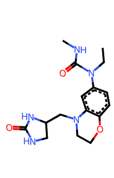 CCN(C(=O)NC)c1ccc2c(c1)N(CC1CNC(=O)N1)CCO2